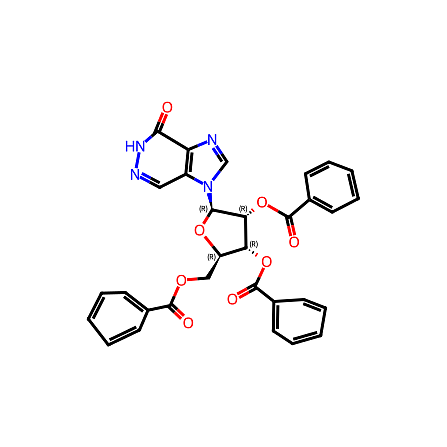 O=C(OC[C@H]1O[C@@H](n2cnc3c(=O)[nH]ncc32)[C@H](OC(=O)c2ccccc2)[C@@H]1OC(=O)c1ccccc1)c1ccccc1